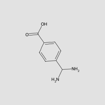 NC(N)c1ccc(C(=O)O)cc1